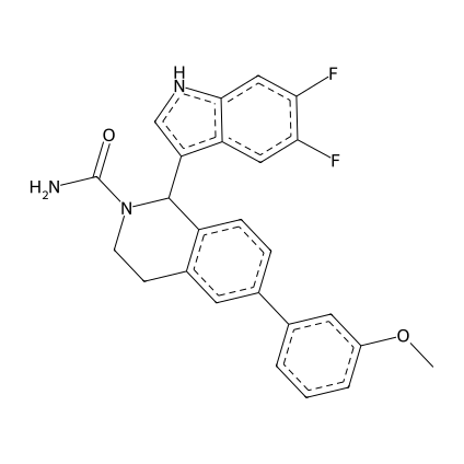 COc1cccc(-c2ccc3c(c2)CCN(C(N)=O)C3c2c[nH]c3cc(F)c(F)cc23)c1